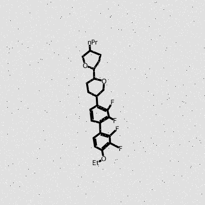 CCCC1CCC(C2CCC(c3ccc(-c4ccc(OCC)c(F)c4F)c(F)c3F)CO2)OC1